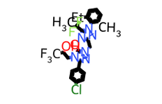 CCc1cccc(C)c1-n1nc(Cn2nc(-c3ccc(Cl)cc3)n(CC(O)C(F)(F)F)c2=O)nc1C(C)(F)F